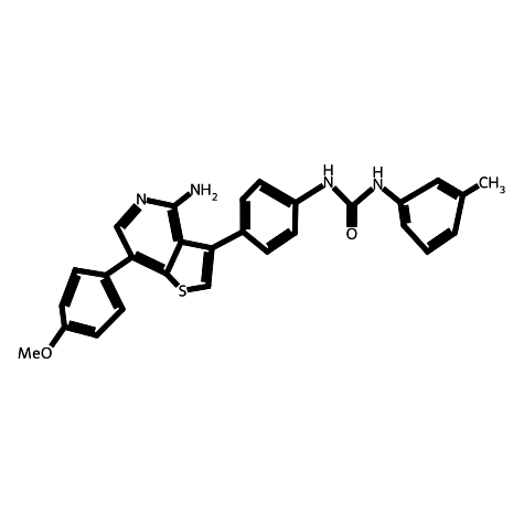 COc1ccc(-c2cnc(N)c3c(-c4ccc(NC(=O)Nc5cccc(C)c5)cc4)csc23)cc1